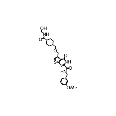 COc1cccc(CNC(=O)c2nc3scc(COCC4CCC(C(=O)NCO)CC4)c3c(=O)[nH]2)c1